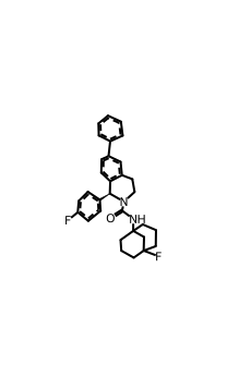 O=C(NC12CCCC(F)(CCC1)C2)N1CCc2cc(-c3ccccc3)ccc2[C@@H]1c1ccc(F)cc1